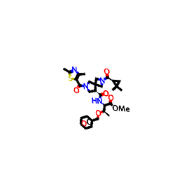 COC(=O)[C@@H](NC(=O)[C@@H]1CN(C(=O)c2sc(C)nc2C)CC12CN(C(=O)[C@H]1CC1(C)C)C2)[C@@H](C)OCC12CCC(CC1)OC2